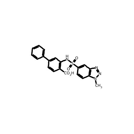 Cn1nnc2cc(S(=O)(=O)Nc3cc(-c4ccccc4)ccc3C(=O)O)ccc21